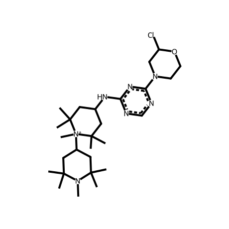 CN1C(C)(C)CC([N+]2(C)C(C)(C)CC(Nc3ncnc(N4CCOC(Cl)C4)n3)CC2(C)C)CC1(C)C